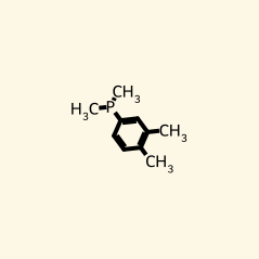 Cc1ccc(P(C)C)cc1C